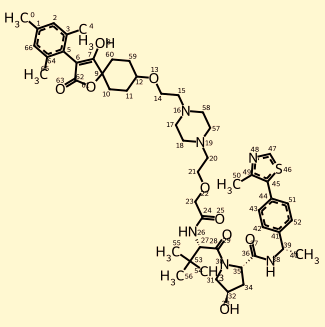 Cc1cc(C)c(C2=C(O)C3(CCC(OCCN4CCN(CCOCC(=O)N[C@H](C(=O)N5C[C@H](O)C[C@H]5C(=O)N[C@@H](C)c5ccc(-c6scnc6C)cc5)C(C)(C)C)CC4)CC3)OC2=O)c(C)c1